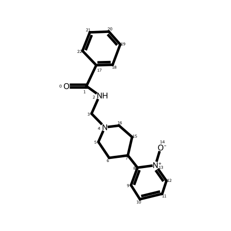 O=C(NCN1CCC(c2cccc[n+]2[O-])CC1)c1ccccc1